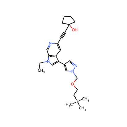 CCn1cc(-c2cnn(COCC[Si](C)(C)C)c2)c2cc(C#CC3(O)CCCC3)ncc21